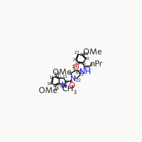 CCC/C=C1/NC2(CCN(C(=O)C3Cc4c(OC)ccc(OC)c4N3C)CC2)Oc2ccc(OC)cc21